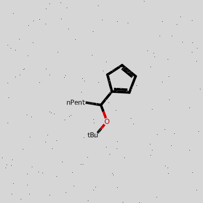 CCCCCC(OC(C)(C)C)C1=CC=CC1